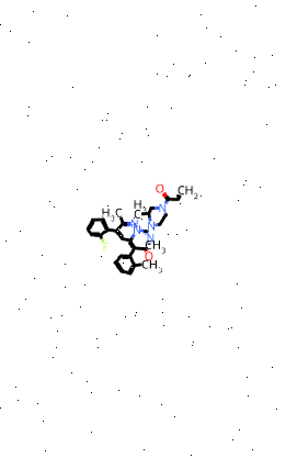 C=CC(=O)N1CCN(/C(=N/C)N2N=C(C)C(c3ccccc3F)=C/C2=C(/C=O)c2ccccc2C)C(C)C1